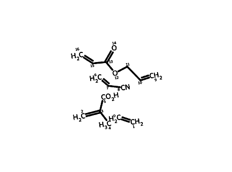 C=C.C=C(C)C(=O)O.C=CC#N.C=CCOC(=O)C=C